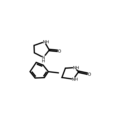 Cc1ccccc1.O=C1NCCN1.O=C1NCCN1